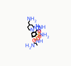 CC(CN)NS(=O)(=O)c1ccc(N2CCC(CCN)CC2)c(-c2nn[nH]n2)c1S(N)(=O)=O